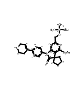 CNc1nc(CO[Si](C)(C)C(C)(C)C)nc2c1C1(CCCC1)C(=O)N2c1cnc(C2=CCOCC2)nc1